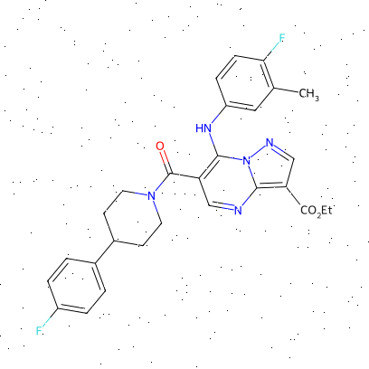 CCOC(=O)c1cnn2c(Nc3ccc(F)c(C)c3)c(C(=O)N3CCC(c4ccc(F)cc4)CC3)cnc12